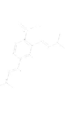 CN(C)C=Cc1nc(N=CN(C)C)ccc1[N+](=O)[O-]